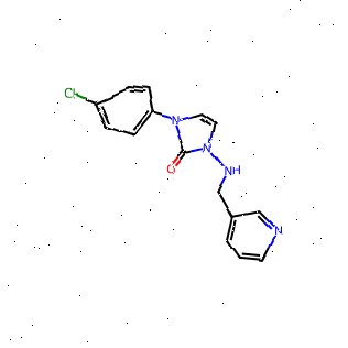 O=c1n(NCc2cccnc2)ccn1-c1ccc(Cl)cc1